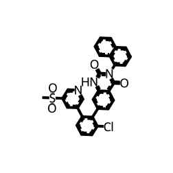 CS(=O)(=O)c1cncc(-c2cccc(Cl)c2-c2ccc3c(=O)n(-c4cccc5ccccc45)c(=O)[nH]c3c2)c1